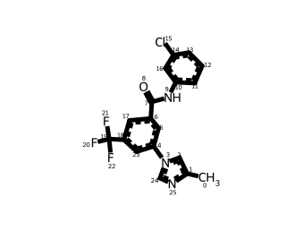 Cc1cn(-c2cc(C(=O)Nc3cccc(Cl)c3)cc(C(F)(F)F)c2)cn1